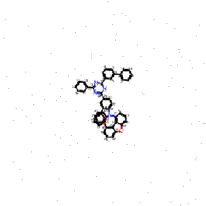 c1ccc(-c2cccc(-c3nc(-c4ccccc4)nc(-c4ccc5c(c4)c4ccccc4n5-c4cccc5oc6cccc(-c7ccccc7)c6c45)n3)c2)cc1